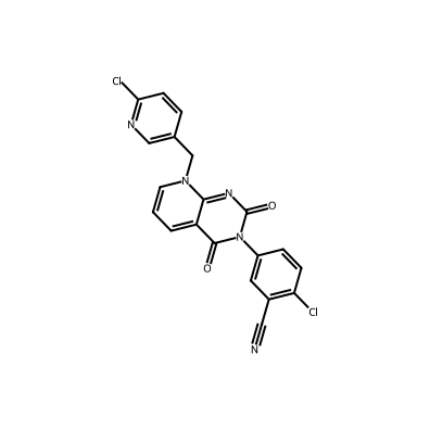 N#Cc1cc(-n2c(=O)nc3n(Cc4ccc(Cl)nc4)cccc-3c2=O)ccc1Cl